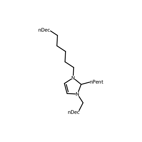 CCCCCCCCCCCCCCCN1C=CN(CCCCCCCCCCC)C1CCCCC